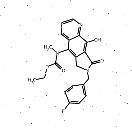 CCOC(=O)N(C)c1c2c(c(O)c3ncccc13)C(=O)N(Cc1ccc(F)cc1)C2